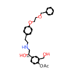 CC(=O)Oc1ccc([C@@H](O)CNCCc2ccc(OCCOCc3ccccc3)cc2)cc1CO